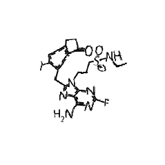 CCNS(=O)(=O)CCCn1c(Cc2cc3c(cc2I)CCC3=O)nc2c(N)nc(F)nc21